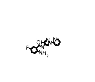 Nc1ccc(F)cc1C(=O)Nc1cnn(-c2ccccn2)c1